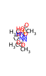 COc1cccc(OC)c1-n1c(NS(=O)(=O)[C@H](C)C2(O)COC2)nnc1-c1ccc(C)o1